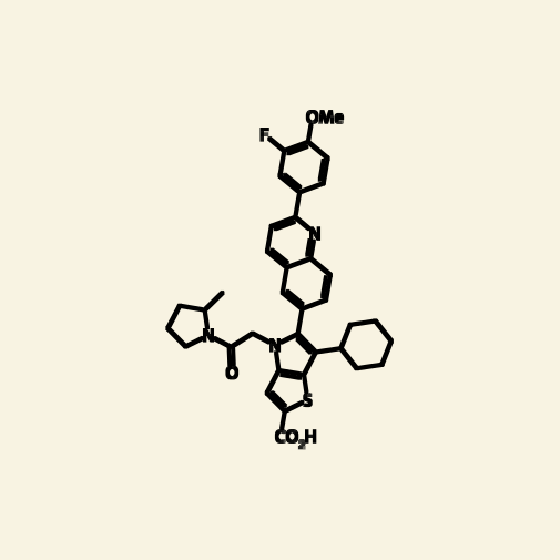 COc1ccc(-c2ccc3cc(-c4c(C5CCCCC5)c5sc(C(=O)O)cc5n4CC(=O)N4CCCC4C)ccc3n2)cc1F